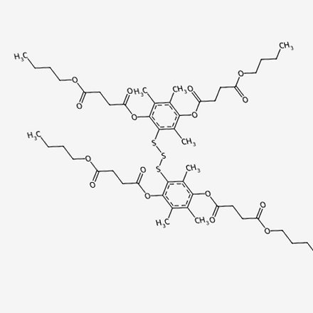 CCCCOC(=O)CCC(=O)Oc1c(C)c(C)c(OC(=O)CCC(=O)OCCCC)c(SSSc2c(C)c(OC(=O)CCC(=O)OCCCC)c(C)c(C)c2OC(=O)CCC(=O)OCCCC)c1C